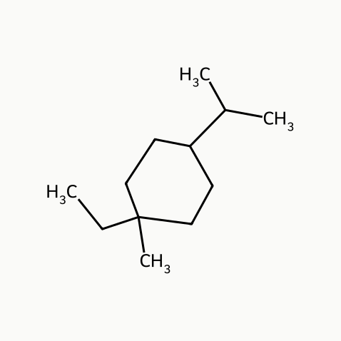 CCC1(C)CCC(C(C)C)CC1